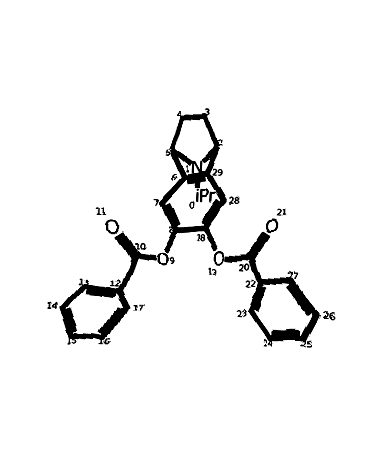 CC(C)N1C2CCC1c1cc(OC(=O)c3ccccc3)c(OC(=O)c3ccccc3)cc12